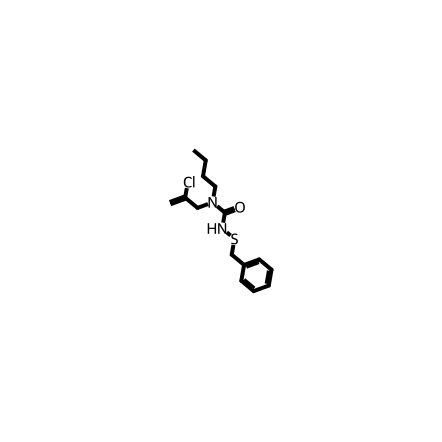 C=C(Cl)CN(CCCC)C(=O)NSCc1ccccc1